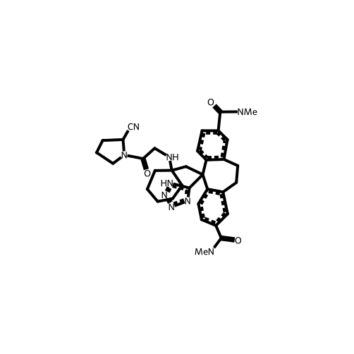 CNC(=O)c1ccc2c(c1)CCc1cc(C(=O)NC)ccc1C2(CC1(NCC(=O)N2CCCC2C#N)CCCCC1)c1nnn[nH]1